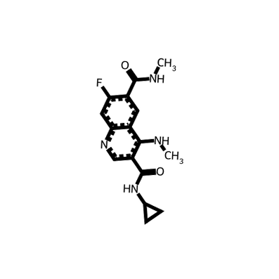 CNC(=O)c1cc2c(NC)c(C(=O)NC3CC3)cnc2cc1F